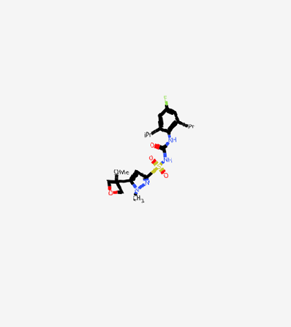 COC1(c2cc(S(=O)(=O)NC(=O)Nc3c(C(C)C)cc(F)cc3C(C)C)nn2C)COC1